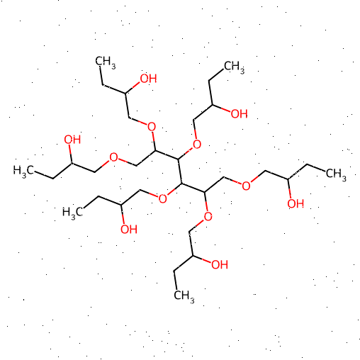 CCC(O)COCC(OCC(O)CC)C(OCC(O)CC)C(OCC(O)CC)C(COCC(O)CC)OCC(O)CC